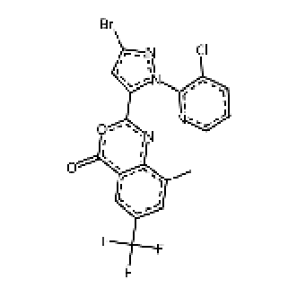 Cc1cc(C(F)(F)F)cc2c(=O)oc(-c3cc(Br)nn3-c3ncccc3Cl)nc12